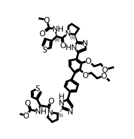 COCCOc1c(-c2ccc(-c3cnc([C@@H]4CCCN4C(=O)[C@H](NC(=O)OC)c4ccsc4)[nH]3)cc2)ccc(-c2cnc([C@@H]3CCCN3C(=O)[C@H](NC(=O)OC)c3ccsc3)[nH]2)c1OCCOC